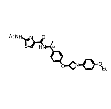 CCOc1ccc(N2CC(Oc3ccc([C@H](C)NC(=O)c4csc(NC(C)=O)n4)cc3)C2)cc1